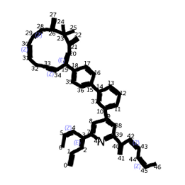 C=C/C=C(\C=C/C)c1cc(-c2cccc(-c3ccc(C4=C/C(=C)C(C)(C)C(=C)/C=C\C=C/C/C=C\4)cc3)c2)cc(C(=C)/C=C\C=C/C)n1